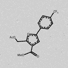 COC(=O)c1cc(-c2ccc(C(F)(F)F)cc2)oc1COC(C)=O